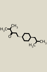 CC(C)C[C@H]1CC[C@H](CCC(=O)C(C)C)CC1